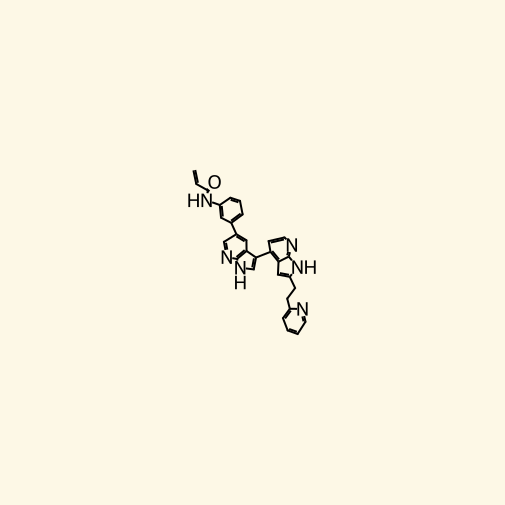 C=CC(=O)Nc1cccc(-c2cnc3[nH]cc(-c4ccnc5[nH]c(CCc6ccccn6)cc45)c3c2)c1